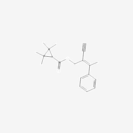 C#CC(COC(=O)C1C(C)(C)C1(C)C)=C(C)c1ccccc1